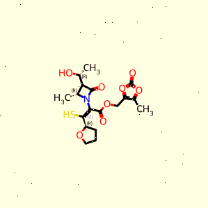 Cc1oc(=O)oc1COC(=O)/C(=C(/S)[C@H]1CCCO1)N1C(=O)C([C@@H](C)O)[C@H]1C